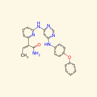 CC=C(C(N)=O)c1cccc(Nc2cc(Nc3ccc(Oc4ccccc4)cc3)ncn2)n1